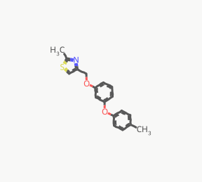 Cc1ccc(Oc2cccc(OCc3csc(C)n3)c2)cc1